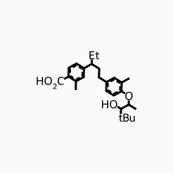 CCC(CCc1ccc(OC(C)C(O)C(C)(C)C)c(C)c1)c1ccc(C(=O)O)c(C)c1